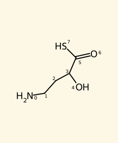 NCCC(O)C(=O)S